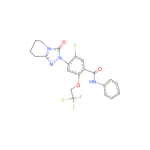 O=C(Nc1ccccc1)c1cc(F)c(-n2nc3n(c2=O)CCCC3)cc1OCC(F)(F)F